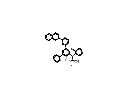 CC(C)N(c1ccccc1F)c1cc(-c2cccc(-c3ccc4ccccc4c3)c2)cc(-c2ccccc2)c1F